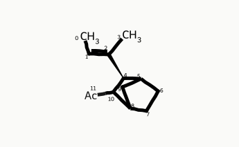 C/C=C(\C)[C@H]1C2CCC(C2)C1C(C)=O